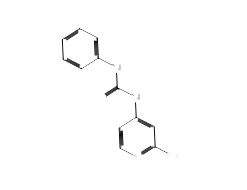 O=C(Nc1ccccc1)Nc1ccnc(O)c1